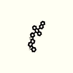 c1ccc2cc(-c3c4ccccc4c(-c4ccc5sc6c(ccc7c6ccc6sc8ccccc8c67)c5c4)c4ccccc34)ccc2c1